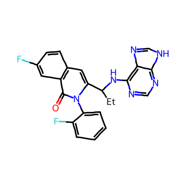 CCC(Nc1ncnc2[nH]cnc12)c1cc2ccc(F)cc2c(=O)n1-c1ccccc1F